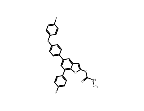 CNC(=O)Oc1cc2cc(-c3ccc(Oc4ccc(F)cc4)cc3)cc(-c3ccc(F)cc3)c2o1